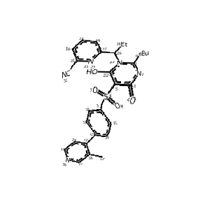 CCCCc1nc(=O)c(S(=O)(=O)c2ccc(-c3ccncc3C)cc2)c(O)n1C(CC)c1cccc(C#N)n1